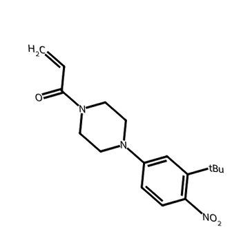 C=CC(=O)N1CCN(c2ccc([N+](=O)[O-])c(C(C)(C)C)c2)CC1